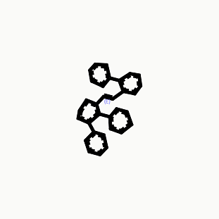 C(=C\c1cccc(-c2ccccc2)c1-c1ccccc1)/c1ccccc1-c1ccccc1